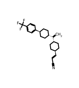 C=C([C@H]1CC[C@H](/C=C/C#N)CC1)[C@H]1CC[C@H](c2ccc(C(F)(F)F)cc2)CC1